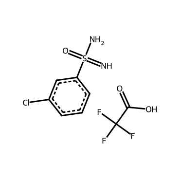 N=S(N)(=O)c1cccc(Cl)c1.O=C(O)C(F)(F)F